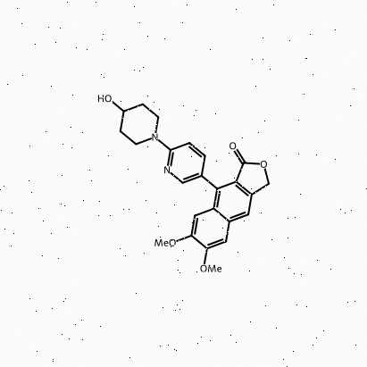 COc1cc2cc3c(c(-c4ccc(N5CCC(O)CC5)nc4)c2cc1OC)C(=O)OC3